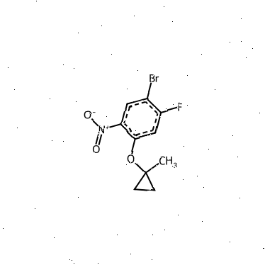 CC1(Oc2cc(F)c(Br)cc2[N+](=O)[O-])CC1